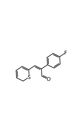 O=CC(=CC1=CC=CCS1)c1ccc(F)cc1